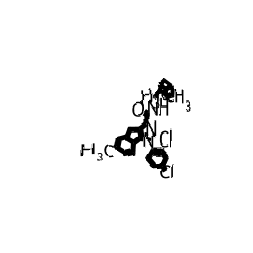 CC1=CC2Cc3c(C(=O)NCC4CCC5CC4C5(C)C)nn(-c4ccc(Cl)cc4Cl)c3C2C=C1